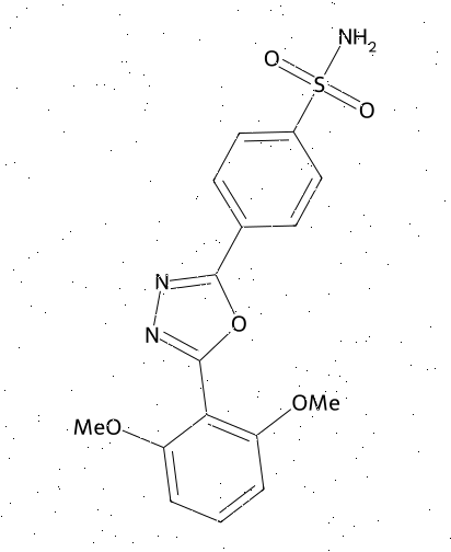 COc1cccc(OC)c1-c1nnc(-c2ccc(S(N)(=O)=O)cc2)o1